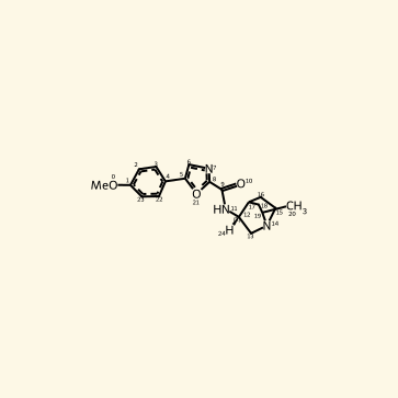 COc1ccc(-c2cnc(C(=O)N[C@H]3CN4CCC3CC4C)o2)cc1